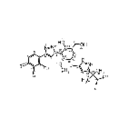 CO[C@@H]1[C@@H](n2cc(-c3ccc(Br)c(F)c3F)nn2)[C@@H](O)[C@@H](CO)O[C@@H]1Cc1cn(C(C)(C)C(F)F)nn1